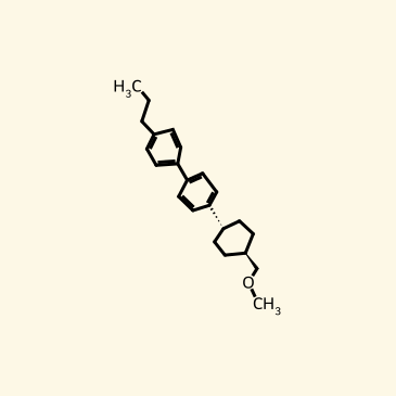 CCCc1ccc(-c2ccc([C@H]3CC[C@H](COC)CC3)cc2)cc1